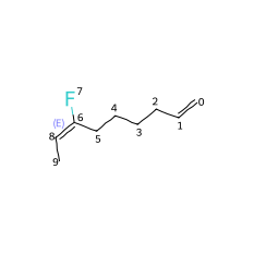 C=CCCCC/C(F)=C\C